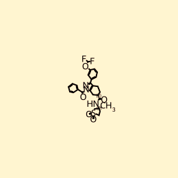 C[C@]1(NC(=O)[C@@H]2CCc3c(-c4cccc(OC(F)F)c4)nn(C(=O)c4ccccc4)c3C2)CCS(=O)(=O)C1